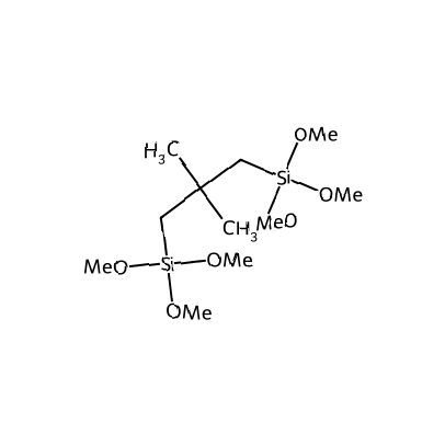 CO[Si](CC(C)(C)C[Si](OC)(OC)OC)(OC)OC